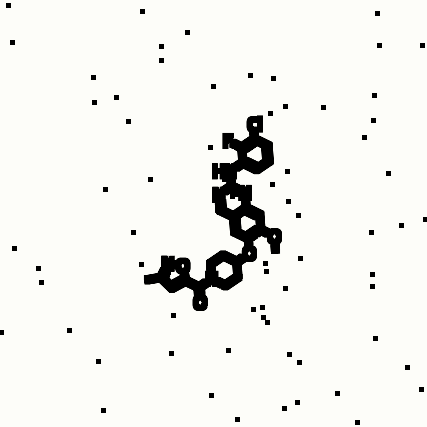 COc1cc2nc(Nc3cccc(Cl)c3F)ncc2cc1OC1CCN(C(=O)c2cc(C)no2)CC1